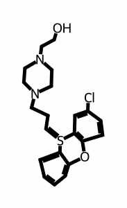 OCCN1CCN(CCC=S2c3ccccc3Oc3ccc(Cl)cc32)CC1